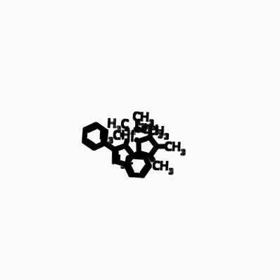 CC1C(C)C(C)[CH]([Hf]([CH3])([CH3])([CH]2C(c3ccccc3)=Cc3ccccc32)[SiH](C)C)C1C